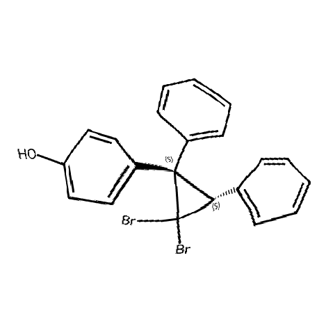 Oc1ccc([C@@]2(c3ccccc3)[C@H](c3ccccc3)C2(Br)Br)cc1